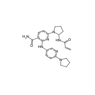 C=CC(=O)NC1CCCN1c1ccc(C(N)=O)c(Nc2ccc(N3CCCC3)nc2)n1